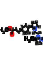 COC(=O)C=Cc1ccc(C2CCCN2CCn2nccc2C)cc1